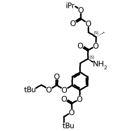 CC(C)OC(=O)OC[C@H](C)OC(=O)[C@@H](N)Cc1ccc(OC(=O)OCC(C)(C)C)c(OC(=O)OCC(C)(C)C)c1